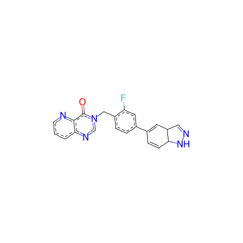 O=c1c2ncccc2ncn1Cc1ccc(C2=CC3C=NNC3C=C2)cc1F